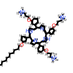 CCCCCCCCCCCOc1cccc(-c2c3nc(c(-c4cccc(OCCC[N+](C)(C)C)c4)c4ccc([nH]4)c(-c4cccc(OCCC[N+](C)(C)C)c4)c4nc(c(-c5cccc(OCCC[N+](C)(C)C)c5)c5ccc2[nH]5)C=C4)C=C3)c1